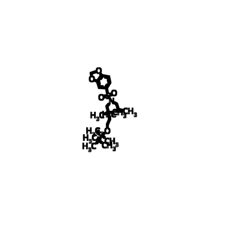 CC(C)CN(CC(C)(C)CCO[Si](C)(C)C(C)(C)C)S(=O)(=O)c1ccc2c(c1)OCO2